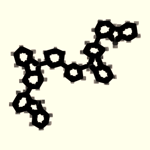 c1cc(-c2cccc(-n3c4ccccc4c4cc(-c5cccc6c5oc5ccccc56)ccc43)c2)cc(-n2c3ccccc3c3cc(-c4cccc5c4oc4ccccc45)ccc32)c1